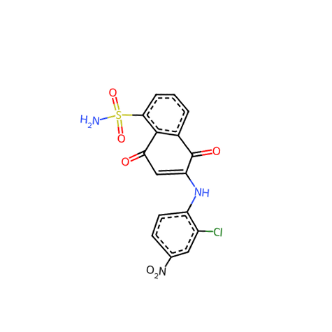 NS(=O)(=O)c1cccc2c1C(=O)C=C(Nc1ccc([N+](=O)[O-])cc1Cl)C2=O